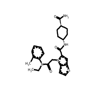 CCN(C(=O)Cn1c(C(=O)N[C@H]2CC[C@H](C(N)=O)CC2)cc2sccc21)c1ccccc1C